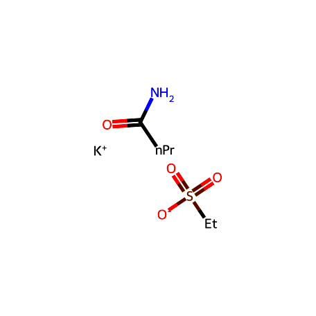 CCCC(N)=O.CCS(=O)(=O)[O-].[K+]